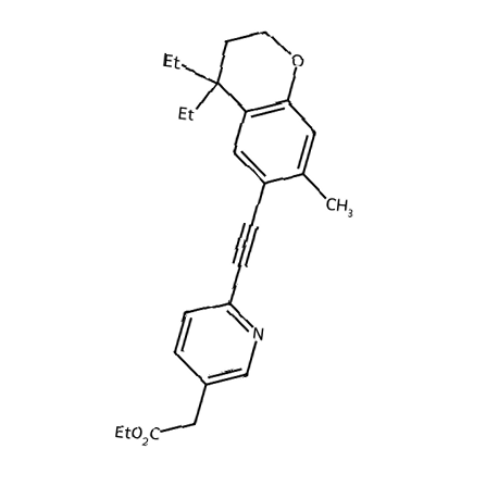 CCOC(=O)Cc1ccc(C#Cc2cc3c(cc2C)OCCC3(CC)CC)nc1